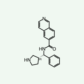 O=C(NC(c1ccccc1)[C@@H]1CCNC1)c1ccc2cnccc2c1